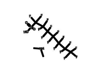 CNC.O=S(=O)(O)C(F)(F)C(F)(F)C(F)(F)C(F)(F)C(F)(F)C(F)(F)C(F)(F)F